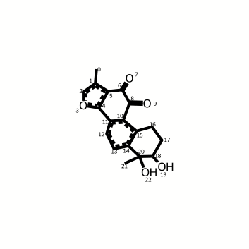 Cc1coc2c1C(=O)C(=O)c1c-2ccc2c1CCC(O)C2(C)O